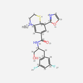 CCCCN1CCSc2c(-c3ncco3)cc(C(=O)NC(CO)Cc3cc(F)cc(F)c3)cc21